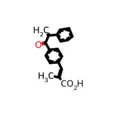 C=C(C(=O)c1ccc(C=C(C)C(=O)O)cc1)c1ccccc1